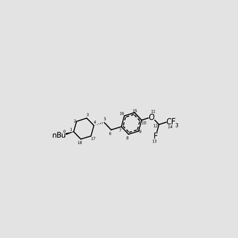 CCCC[C@H]1CC[C@H](CCc2ccc(OC(F)C(F)(F)F)cc2)CC1